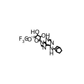 OC1C(O)[C@@H](COC(F)(F)F)O[C@H]1n1cnc2c(NC3CC4CCC3C4)ncnc21